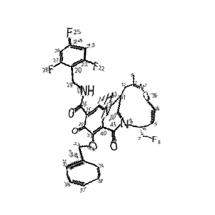 C/C1=N/O/C=C\[C@H](CF)N2C[C@H](C1)n1cc(C(=O)NCc3c(F)cc(F)cc3F)c(=O)c(OCc3ccccc3)c1C2=O